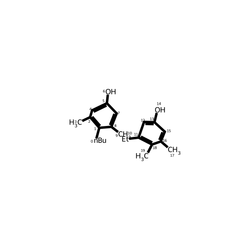 CCCCc1c(C)cc(O)cc1C.CCc1cc(O)cc(C)c1C